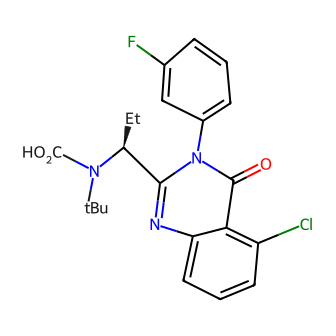 CC[C@@H](c1nc2cccc(Cl)c2c(=O)n1-c1cccc(F)c1)N(C(=O)O)C(C)(C)C